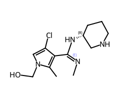 C/N=C(/N[C@@H]1CCCNC1)c1c(Cl)cn(CO)c1C